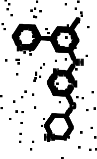 Cc1cc(Nc2nccc(OC3CCNCC3)n2)cc(-c2cccnc2)c1